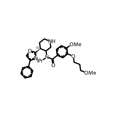 COCCCOc1cc(C(=O)N(C(C)C)C2CNCC[C@@H]2c2nc(-c3ccccc3)co2)ccc1OC